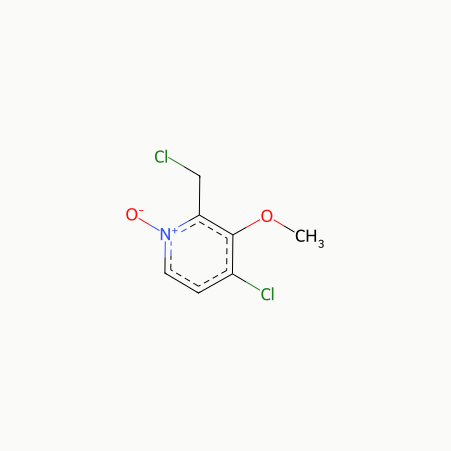 COc1c(Cl)cc[n+]([O-])c1CCl